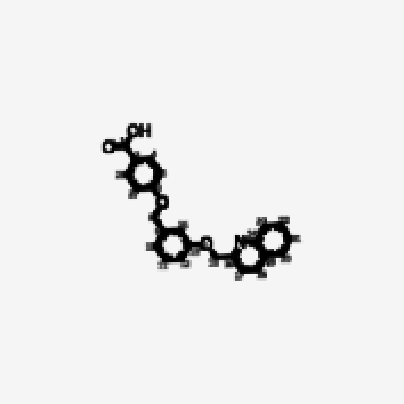 O=C(O)c1ccc(OCc2cccc(OCc3ccc4ccccc4n3)c2)cc1